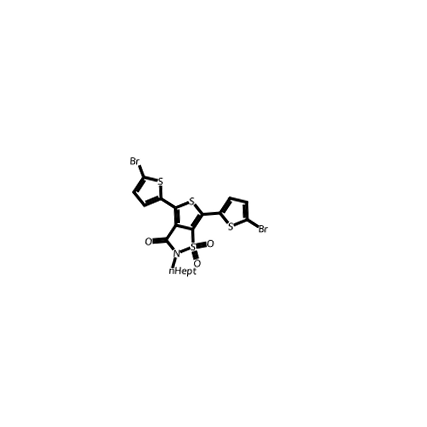 CCCCCCCN1C(=O)c2c(-c3ccc(Br)s3)sc(-c3ccc(Br)s3)c2S1(=O)=O